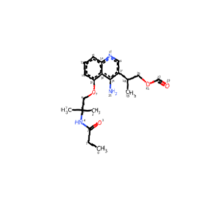 CCC(=O)NC(C)(C)COc1cccc2ncc(C(C)COC=O)c(N)c12